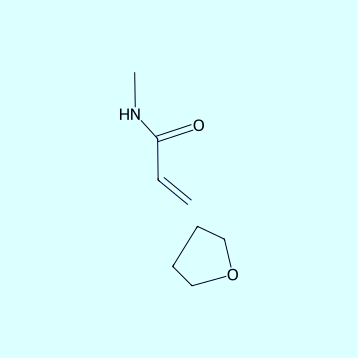 C1CCOC1.C=CC(=O)NC